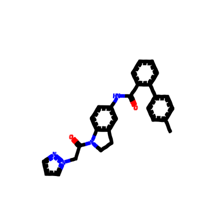 Cc1ccc(-c2ccccc2C(=O)Nc2ccc3c(c2)CCN3C(=O)Cn2cccn2)cc1